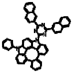 c1ccc(-n2c3cccc4c5ccccc5c5cccc6c5c5c(c43)c2ccc5n6-c2nc(-c3ccc4ccccc4c3)nc(-c3ccc4ccccc4c3)n2)cc1